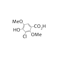 COc1cc(C(=O)O)c(OC)c(Cl)c1O